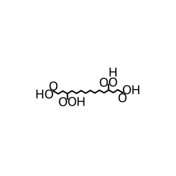 O=C(O)CCC(CCCCCCCCC(CCC(=O)O)C(=O)O)C(=O)O